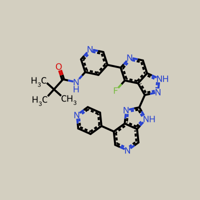 CC(C)(C)C(=O)Nc1cncc(-c2ncc3[nH]nc(-c4nc5c(-c6ccncc6)cncc5[nH]4)c3c2F)c1